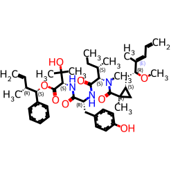 C=C/C=C(\C)[C@@H](C[C@@H]1C[C@@]1(C)C(=O)N(C)[C@H](C(=O)N[C@H](Cc1ccc(O)cc1)C(=O)N[C@H](C(=O)O[C@H](c1ccccc1)[C@H](C)C=C)C(C)(C)O)[C@@H](C)CC)OC